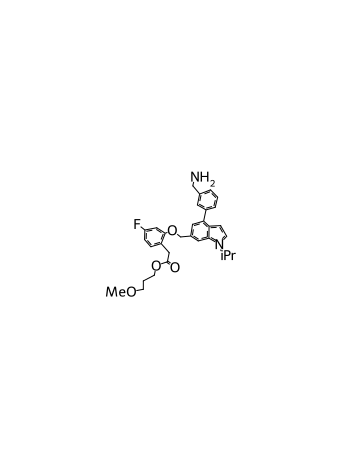 COCCCOC(=O)Cc1ccc(F)cc1OCc1cc(-c2cccc(CN)c2)c2ccn(C(C)C)c2c1